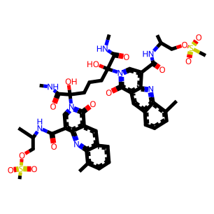 CNC(=O)C(O)(CCCC(O)(C(=O)NC)n1cc(C(=O)NC(C)COS(C)(=O)=O)c2nc3c(C)cccc3cc2c1=O)n1cc(C(=O)NC(C)COS(C)(=O)=O)c2nc3c(C)cccc3cc2c1=O